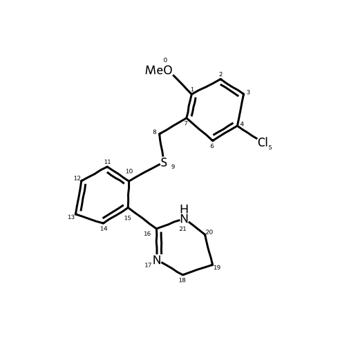 COc1ccc(Cl)cc1CSc1ccccc1C1=NCCCN1